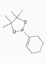 CC1(C)OP(C2=CCCCC2)OC1(C)C